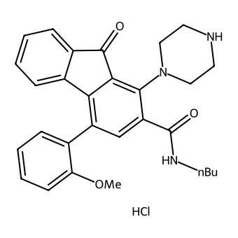 CCCCNC(=O)c1cc(-c2ccccc2OC)c2c(c1N1CCNCC1)C(=O)c1ccccc1-2.Cl